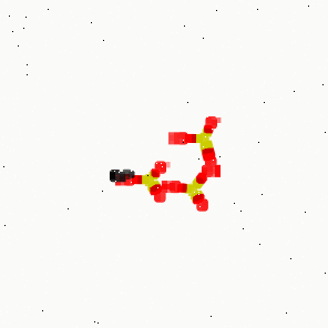 O=S(O)O.O=S([O-])O.O=S([O-])O.[Ca+2]